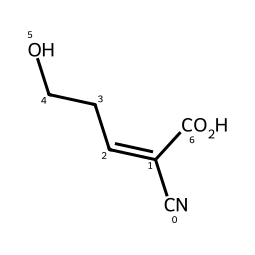 N#CC(=CCCO)C(=O)O